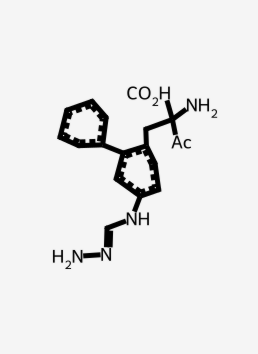 CC(=O)C(N)(Cc1ccc(NC=NN)cc1-c1ccccc1)C(=O)O